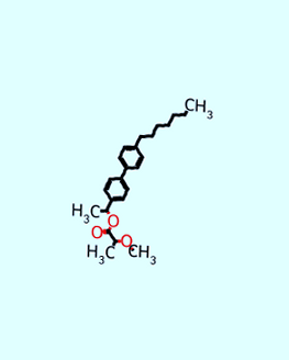 CCCCCCCc1ccc(-c2ccc(C(C)OC(=O)C(C)OC)cc2)cc1